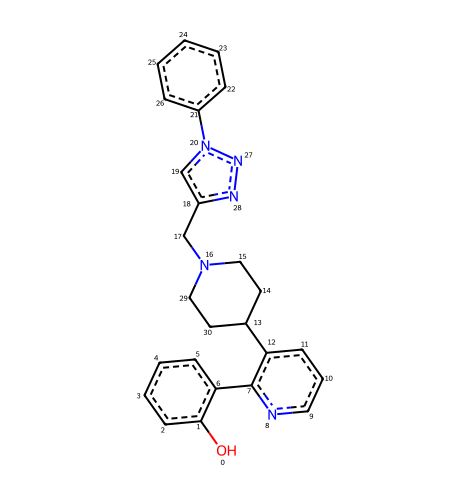 Oc1ccccc1-c1ncccc1C1CCN(Cc2cn(-c3ccccc3)nn2)CC1